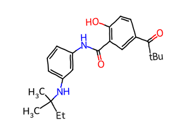 CCC(C)(C)Nc1cccc(NC(=O)c2cc(C(=O)C(C)(C)C)ccc2O)c1